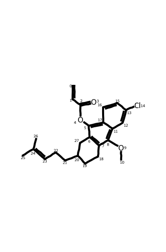 C=CC(=O)Oc1c2c(c(OC)c3cc(Cl)ccc13)CCC(CCC=C(C)C)C2